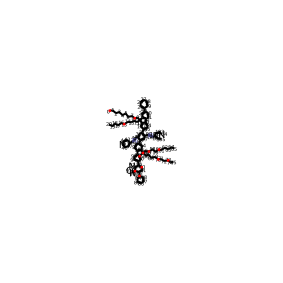 CCCCCCCCCCC1(CCCCCCCCCC)c2cc(-c3ccccc3)ccc2-c2ccc(-c3cc(/C=C/c4ccncc4)c(-c4ccc5c(c4)C(CCCCCCCCCC)(CCCCCCCCCC)c4cc(-c6ccc(-c7ccccc7)c7nonc67)ccc4-5)cc3/C=C/c3ccncc3)cc21